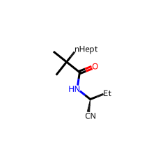 CCCCCCCC(C)(C)C(=O)N[C@H](C#N)CC